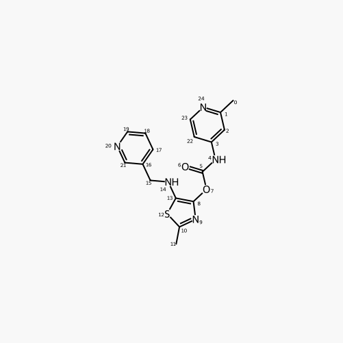 Cc1cc(NC(=O)Oc2nc(C)sc2NCc2cccnc2)ccn1